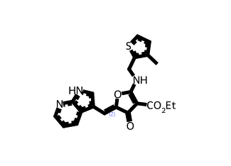 CCOC(=O)C1=C(NCc2sccc2C)O/C(=C\c2c[nH]c3ncccc23)C1=O